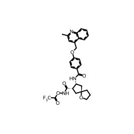 Cc1cc(COc2ccc(C(=O)N[C@@H]3C[C@]4(CCCO4)C[C@@H]3C(=O)NOC(=O)C(F)(F)F)cc2)c2ccccc2n1